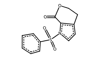 O=C1OCCc2ccn(S(=O)(=O)c3ccccc3)c21